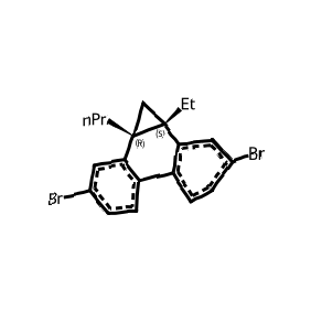 CCC[C@@]12C[C@]1(CC)c1cc(Br)ccc1-c1ccc(Br)cc12